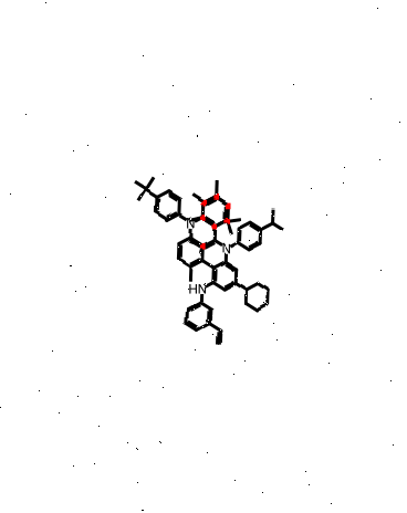 C=Cc1cccc(Nc2cc(C3CCCCC3)cc(N(C(=C(C)C)C3=C(C)C(C)CCC3(C)C)c3ccc(C(C)C)cc3)c2-c2cc(N(c3ccc(C(C)(C)C)cc3)c3cccc(C)c3)ccc2C)c1